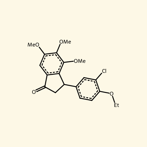 CCOc1ccc(C2CC(=O)c3cc(OC)c(OC)c(OC)c32)cc1Cl